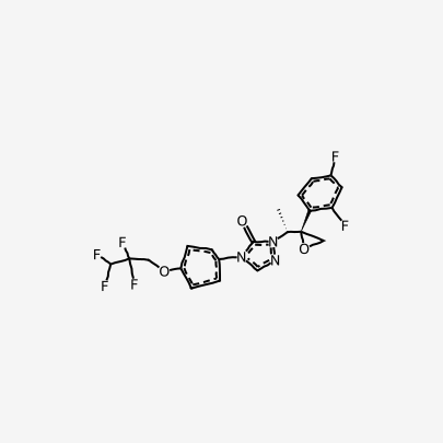 C[C@@H](n1ncn(-c2ccc(OCC(F)(F)C(F)F)cc2)c1=O)[C@]1(c2ccc(F)cc2F)CO1